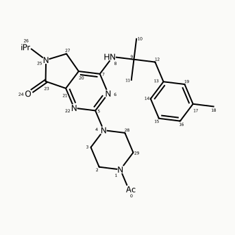 CC(=O)N1CCN(c2nc(NC(C)(C)Cc3cccc(C)c3)c3c(n2)C(=O)N(C(C)C)C3)CC1